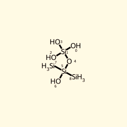 O[Si](O)(O)O[Si](O)([SiH3])[SiH3]